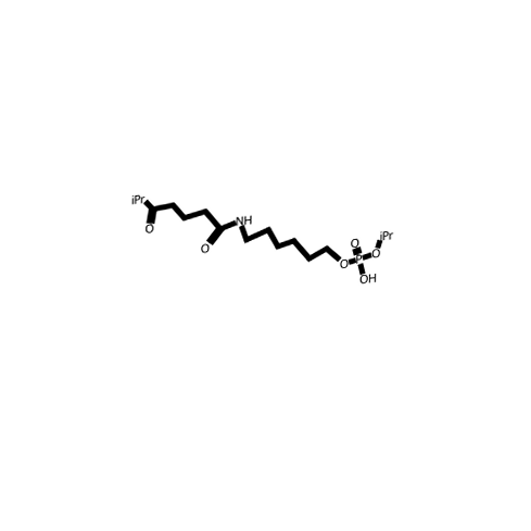 CC(C)OP(=O)(O)OCCCCCCNC(=O)CCCC(=O)C(C)C